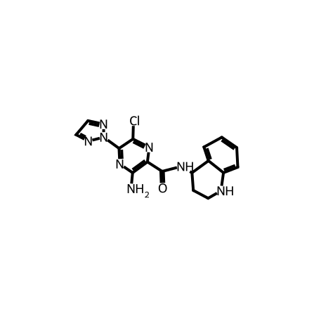 Nc1nc(-n2nccn2)c(Cl)nc1C(=O)NC1CCNc2ccccc21